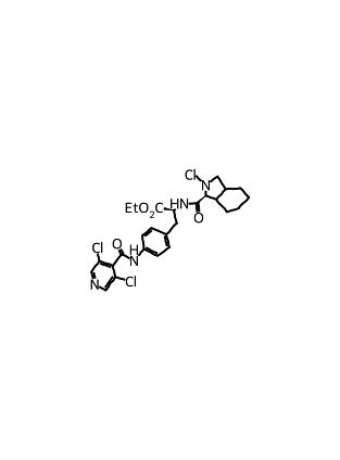 CCOC(=O)[C@H](Cc1ccc(NC(=O)c2c(Cl)cncc2Cl)cc1)NC(=O)[C@@H]1C2CCCCC2CN1Cl